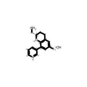 Cl.NC[C@@H]1CCc2cc(F)cc(-c3cccnc3)c2O1